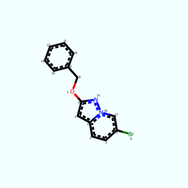 Brc1ccc2cc(OCc3ccccc3)nn2c1